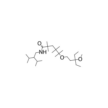 CCC(CC)(CCOC(C)(C)C(C)(C)CC(C)(C)C(=O)NCC(C(C)C)C(C)C)OC